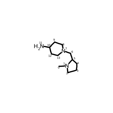 CN1CCCC1CN1CCC(N)CC1